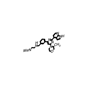 CNCCNCc1cccc(-c2cc(N3CCOCC3C)nc(-c3ccnc4[nH]ccc34)n2)c1